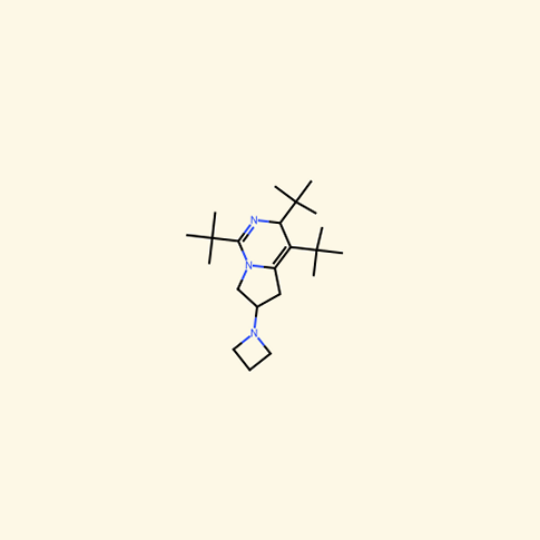 CC(C)(C)C1=NC(C(C)(C)C)C(C(C)(C)C)=C2CC(N3CCC3)CN12